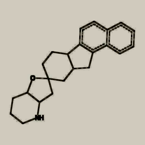 c1ccc2c3c(ccc2c1)C1CCC2(CC1C3)CC1NCCCC1O2